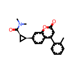 Cc1ccccc1-c1cc(=O)oc2cc([C@H]3C[C@H]3C(=O)N(C)C)ccc12